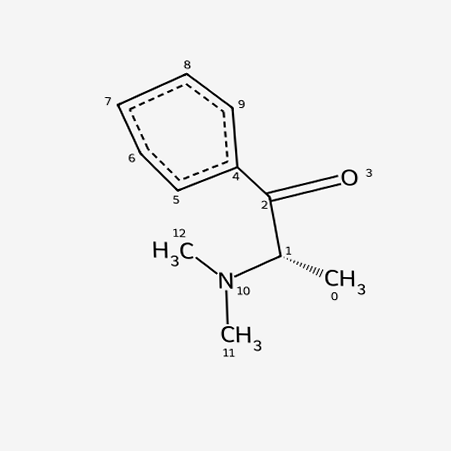 C[C@@H](C(=O)c1ccccc1)N(C)C